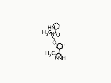 Cc1n[nH]cc1-c1c[c]cc(OCCN(C)C(=O)[C@@H]2CCCCN2)c1